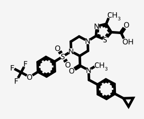 Cc1nc(N2CCN(S(=O)(=O)c3ccc(OC(F)(F)F)cc3)C(C(=O)N(C)Cc3ccc(C4CC4)cc3)C2)sc1C(=O)O